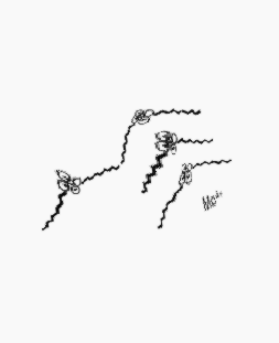 CCCCCCCCCCOP(=O)([O-])OCCCCCCCCCC.CCCCCCCCCCOP(=O)([O-])OCCCCCCCCCC.CCCCCCCCCCOP(=O)([O-])OCCCCCCCCCC.CCCCCCCCCCOP(=O)([O-])OCCCCCCCCCC.[Mo+4]